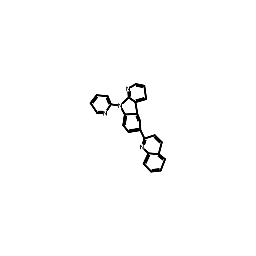 c1ccc(-n2c3ccc(-c4ccc5ccccc5n4)cc3c3cccnc32)nc1